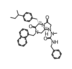 CCC(C)c1ccc(C[C@H]2C(=O)N(Cc3cccc4ccccc34)C[C@H]3N2C(=O)CN3N(C)C(=O)NCc2ccccc2)cc1